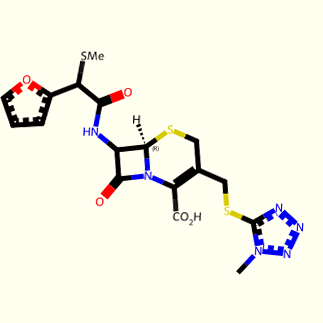 CSC(C(=O)NC1C(=O)N2C(C(=O)O)=C(CSc3nnnn3C)CS[C@H]12)c1ccco1